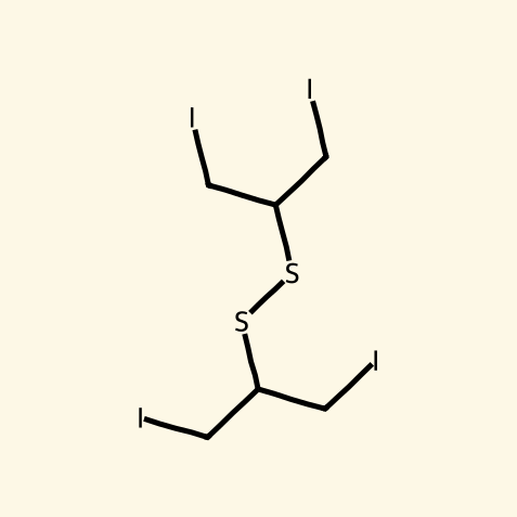 ICC(CI)SSC(CI)CI